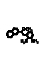 COC(Cc1cccc(N)c1N)c1ccc2ccccc2c1